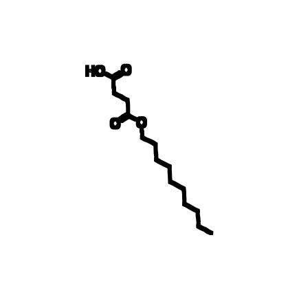 CCCCCCCCCCOC(=O)CCC(=O)O